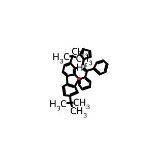 CC(C)(C)c1ccc2c(c1)Cc1c-2ccc(C(C)(C)C)[c]1[Hf](=[C](c1ccccc1)c1ccccc1)[CH]1C=CC=C1